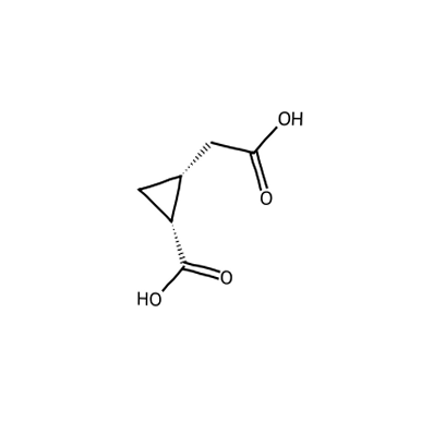 O=C(O)C[C@H]1C[C@H]1C(=O)O